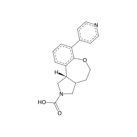 O=C(O)N1CC2CCOc3c(-c4ccncc4)cccc3[C@H]2C1